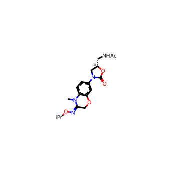 CC(=O)NC[C@H]1CN(c2ccc3c(c2)OCC(=NOC(C)C)N3C)C(=O)O1